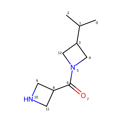 CC(C)C1CN(C(=O)C2CNC2)C1